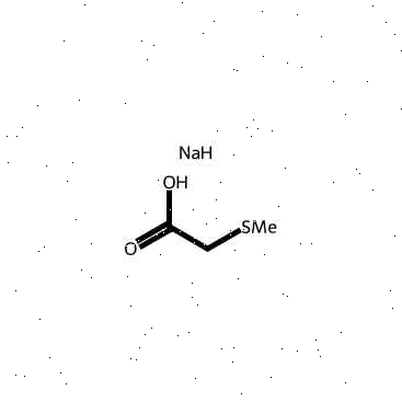 CSCC(=O)O.[NaH]